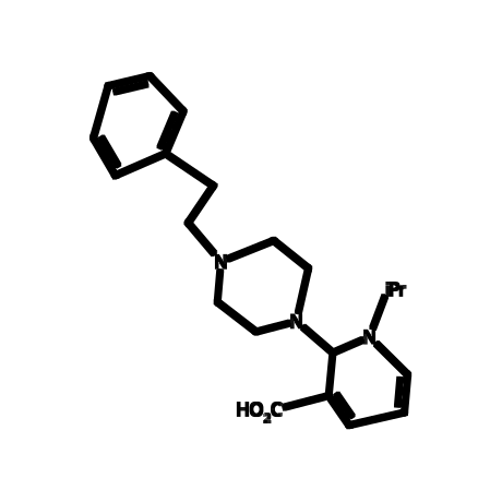 CC(C)N1C=CC=C(C(=O)O)C1N1CCN(CCc2ccccc2)CC1